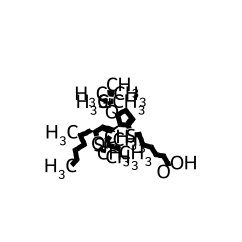 CCCC[C@@H](C)C[C@@H](C=C[C@@H]1C(SCCCCCC(=O)O)=CC[C@H]1O[Si](C)(C)C(C)(C)C)O[Si](C)(C)C(C)(C)C